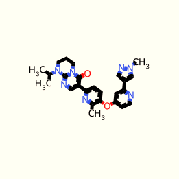 Cc1nc(-c2cnc3n(c2=O)CCCN3C(C)C)ccc1Oc1ccnc(-c2cnn(C)c2)c1